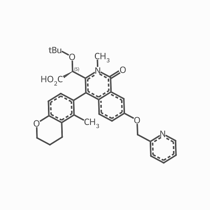 Cc1c(-c2c([C@H](OC(C)(C)C)C(=O)O)n(C)c(=O)c3cc(OCc4ccccn4)ccc23)ccc2c1CCCO2